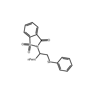 CCCCCC(C[Se]c1ccccc1)N1C(=O)c2ccccc2S1(=O)=O